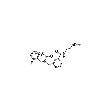 CCCCCCCCCCCCNC(=O)c1cccc(CN(Cc2ccccc2F)C(=O)C(=O)O)c1